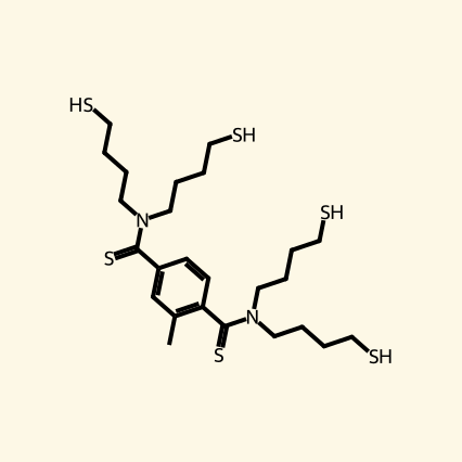 Cc1cc(C(=S)N(CCCCS)CCCCS)ccc1C(=S)N(CCCCS)CCCCS